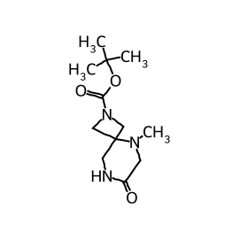 CN1CC(=O)NCC12CN(C(=O)OC(C)(C)C)C2